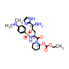 CCOC(=O)O[C@@H]1CCCCN1C(=O)[C@H](CC[C@H](N)c1ncc[nH]1)NS(=O)(=O)c1ccc(N(C)C)cc1